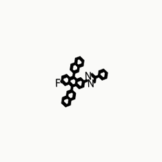 Fc1ccc2c(-c3ccc4ccccc4c3)c3cc(-c4ncc(-c5ccccc5)cn4)ccc3c(-c3ccc4ccccc4c3)c2c1